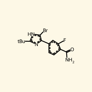 CC(C)(C)c1nc(-c2ccc(C(N)=O)c(F)c2)c(Br)[nH]1